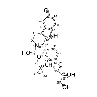 CC1(COC(O)N2CCc3c([nH]c4ccc(Cl)cc34)[C@@H]2c2ccc(OC[C@@H](O)CO)cc2)CC1